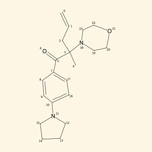 C=CCC(C)(C(=O)c1ccc(N2CCCC2)cc1)N1CCOCC1